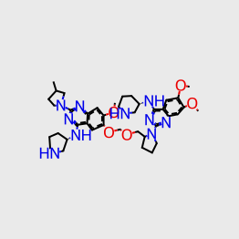 COc1cc2nc(N3CCCC3COCOc3cc4c(N[C@H]5CCCNC5)nc(N5CCC(C)C5)nc4cc3OC)nc(N[C@H]3CCCNC3)c2cc1OC